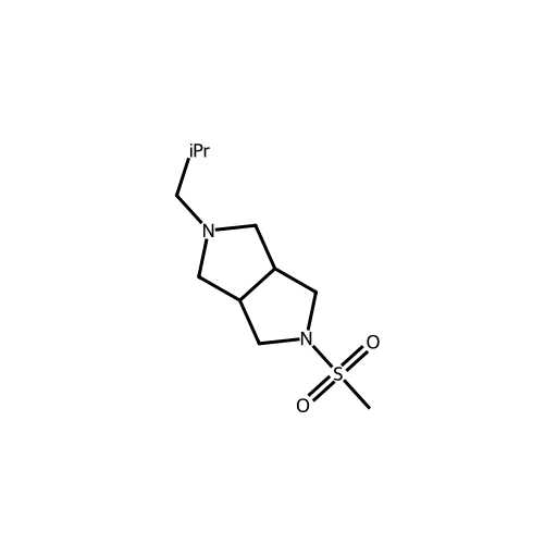 CC(C)CN1CC2CN(S(C)(=O)=O)CC2C1